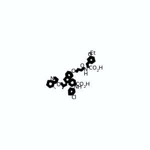 CCOc1cccc(C[C@@H](NC(=O)CCCOc2ccc3c(c2)C2(CCC(Nc4cccc(Cl)c4)(C(=O)O)CC2)[C@@H](C[C@@H](C)COc2ccnc4c2[C@H](C)CCC4)C3)C(=O)O)c1